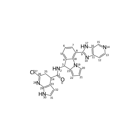 O=C(NC1c2cccc(-c3nc4ccncc4[nH]3)c2-n2cccc21)C1CC(Cl)=Nc2[nH]ccc21